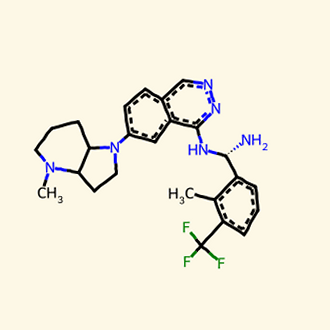 Cc1c([C@@H](N)Nc2nncc3ccc(N4CCC5C4CCCN5C)cc23)cccc1C(F)(F)F